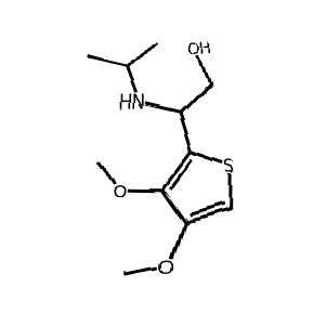 COc1csc(C(CO)NC(C)C)c1OC